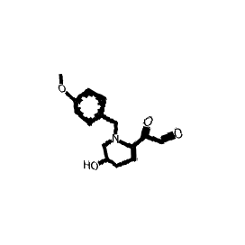 COc1ccc(CN2CC(O)CCC2C(=O)C=O)cc1